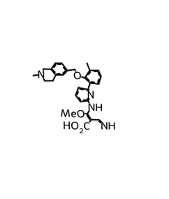 CO/C(Nc1cccc(-c2cccc(C)c2OCc2ccc3c(c2)CCN(C)C3)n1)=C(/C=N)C(=O)O